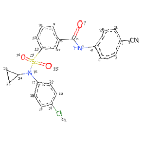 N#Cc1ccc(NC(=O)c2cccc(S(=O)(=O)N(c3ccc(Cl)cc3)C3CC3)c2)cc1